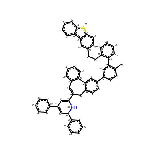 Cc1ccc(-c2ccc3c(c2)-c2ccccc2C=C(C2=CC(c4ccccc4)=CC(c4ccccc4)N2)C3)cc1-c1ccccc1CCc1ccc2sc3ccccc3c2c1